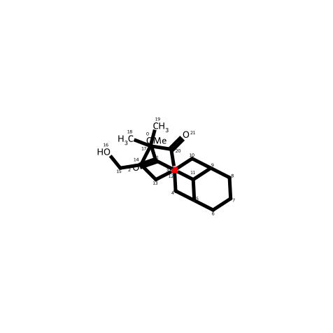 COC(=O)C1CC2CCCC(C1)C2N1CC(CO)C(C)(C)C1=O